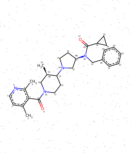 Cc1ccnc(C)c1C(=O)N1CCC(N2CC[C@@H](N(Cc3ccccc3)C(=O)C3CC3)C2)[C@H](C)C1